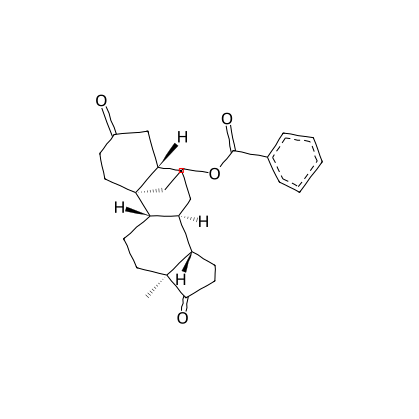 C[C@]12CC[C@H]3[C@@H](CC[C@H]4CC(=O)CC[C@@]43CCOC(=O)c3ccccc3)[C@@H]1CCC2=O